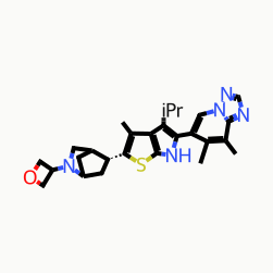 Cc1c(-c2[nH]c3sc([C@@H]4CC5CC4CN5C4COC4)c(C)c3c2C(C)C)cn2ncnc2c1C